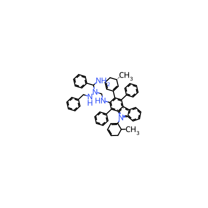 CC1CC=CC=C1n1c2ccccc2c2c(-c3ccccc3)c(C3=C[C@@H](C)CC=C3)c(NCN(NCc3ccccc3)C(N)c3ccccc3)c(-c3ccccc3)c21